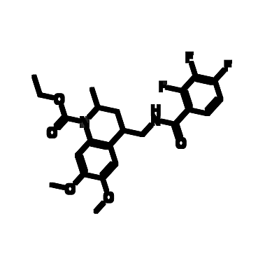 CCOC(=O)N1c2cc(OC)c(OC)cc2C(CNC(=O)c2ccc(F)c(F)c2F)CC1C